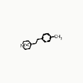 Cc1ccc([CH]CC23CCN(CC2)CC3)cc1